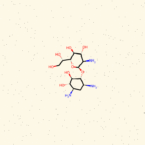 N[C@H]1[C@@H](O[C@H]2[C@H](O)[C@@H](O)[C@H](N)C[C@@H]2N)O[C@H]([C@@H](O)CO)[C@@H](O)[C@@H]1O